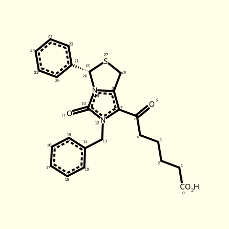 O=C(O)CCCCC(=O)c1c2n(c(=O)n1Cc1ccccc1)[C@H](c1ccccc1)SC2